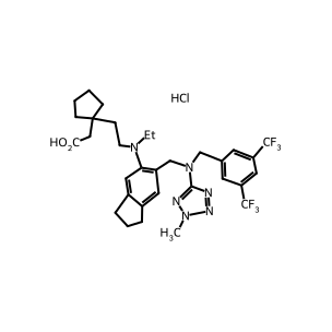 CCN(CCC1(CC(=O)O)CCCC1)c1cc2c(cc1CN(Cc1cc(C(F)(F)F)cc(C(F)(F)F)c1)c1nnn(C)n1)CCC2.Cl